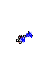 CCc1nc2c(CC)cn(Cc3ccc(-c4ccccc4-c4nnnn4C(c4ccccc4)(c4ccccc4)c4ccccc4)cc3)n2n1